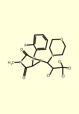 CN1C(=O)C2N(C(C(Cl)C(Cl)(Cl)Cl)N3CCOCC3)[N+]2(c2ccccc2F)C1=O